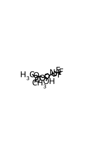 CCOC(COc1ccc(-c2ccc(C(F)(F)F)cn2)cc1O)OCC